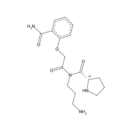 NCCCN(C(=O)COc1ccccc1C(N)=O)C(=O)[C@@H]1CCCN1